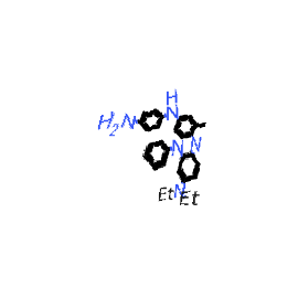 CCN(CC)C1=CC(=N\c2ccccc2)/C(=N\c2ccc(Nc3ccc(N)cc3)cc2C)C=C1